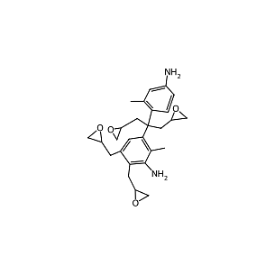 Cc1cc(N)ccc1C(CC1CO1)(CC1CO1)c1cc(CC2CO2)c(CC2CO2)c(N)c1C